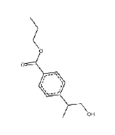 CCCOC(=O)c1ccc(C(C)CO)cc1